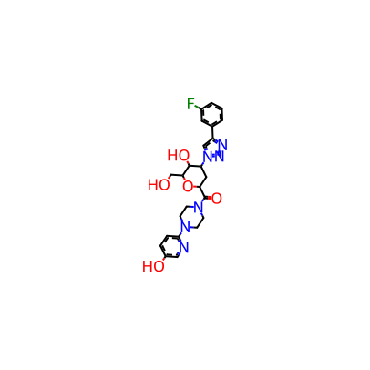 O=C(C1CC(n2cc(-c3cccc(F)c3)nn2)C(O)C(CO)O1)N1CCN(c2ccc(O)cn2)CC1